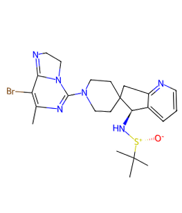 CC1=C(Br)C2=NCCN2C(N2CCC3(CC2)Cc2ncccc2[C@H]3N[S@+]([O-])C(C)(C)C)=N1